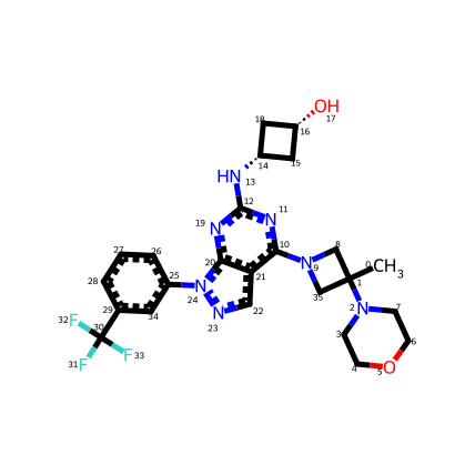 CC1(N2CCOCC2)CN(c2nc(N[C@H]3C[C@@H](O)C3)nc3c2cnn3-c2cccc(C(F)(F)F)c2)C1